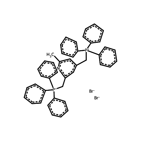 Cc1cc(C[P+](c2ccccc2)(c2ccccc2)c2ccccc2)cc(C[P+](c2ccccc2)(c2ccccc2)c2ccccc2)n1.[Br-].[Br-]